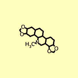 CN1CC2C(CCC3OCOC32)C2CCC3CC4OCOC4CC3C21